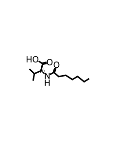 CCCCCCC(=O)N[C@H](C(=O)O)C(C)C